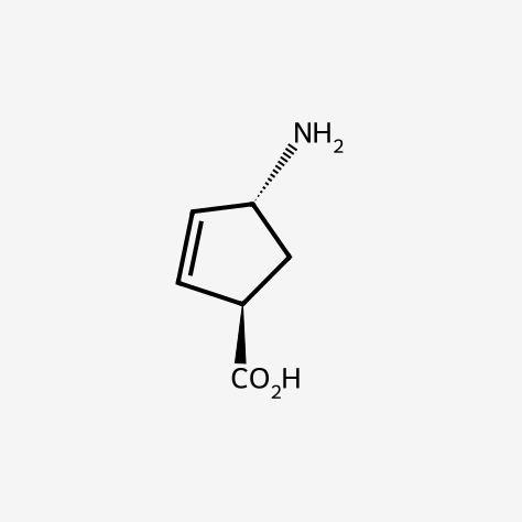 N[C@H]1C=C[C@H](C(=O)O)C1